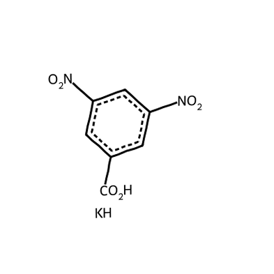 O=C(O)c1cc([N+](=O)[O-])cc([N+](=O)[O-])c1.[KH]